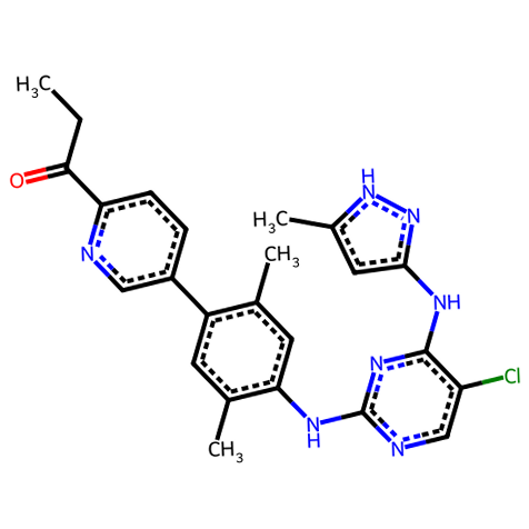 CCC(=O)c1ccc(-c2cc(C)c(Nc3ncc(Cl)c(Nc4cc(C)[nH]n4)n3)cc2C)cn1